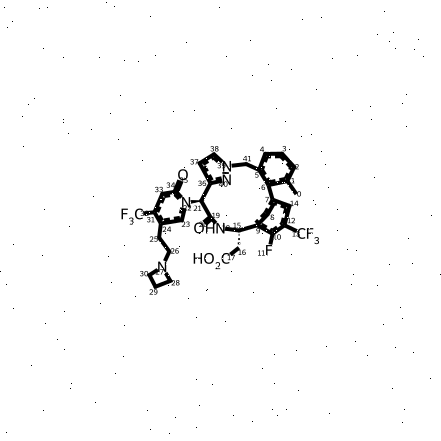 Cc1cccc2c1-c1cc(c(F)c(C(F)(F)F)c1)[C@H](CC(=O)O)NC(=O)[C@@H](n1cc(CCN3CCC3)c(C(F)(F)F)cc1=O)c1ccn(n1)C2